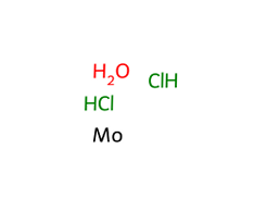 Cl.Cl.O.[Mo]